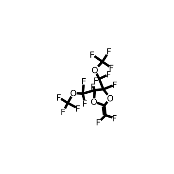 FC(F)=C1OC(F)(C(F)(F)OC(F)(F)F)C(F)(C(F)(F)OC(F)(F)F)O1